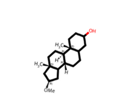 CO[C@@H]1CC2[C@H]3CCC4CC(O)CC[C@@]4(C)[C@@H]3CC[C@@]2(C)C1